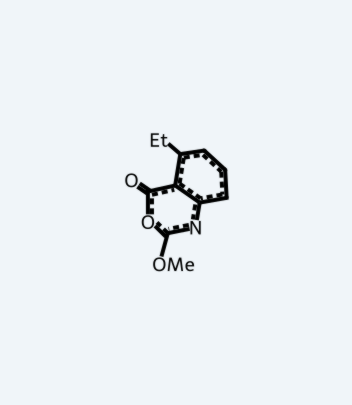 CCc1cccc2nc(OC)oc(=O)c12